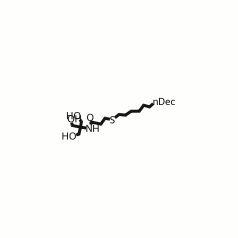 CCCCCCCCCCCCCCCCSCCC(=O)NC(CO)(CO)CO